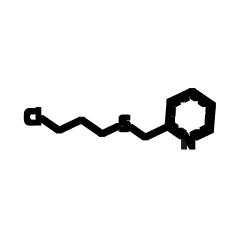 ClCCCSCc1ccccn1